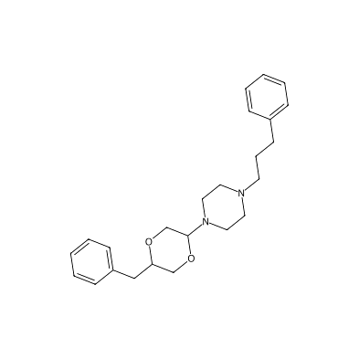 c1ccc(CCCN2CCN(C3COC(Cc4ccccc4)CO3)CC2)cc1